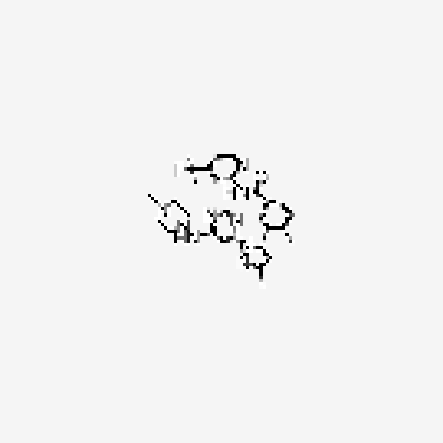 Cc1cc(-c2cc(C(=O)Nc3cc(C(C)(C)F)ccn3)ccc2C)n(-c2cc(NN3CCN(C)CC3)ncn2)n1